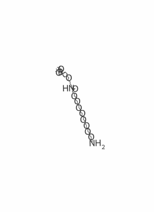 CC1(C)OB(c2ccc(OCCCCNC(=O)CCOCCOCCOCCOCCOCCOCCOCCOCCN)cc2)OC1(C)C